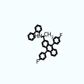 C=C(Nc1ccccc1-c1ccccc1)c1ccc2c(-c3ccc(F)cc3)c3ccccc3c(-c3ccc(F)cc3)c2c1